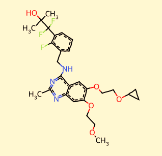 COCCOc1cc2nc(C)nc(NCc3cccc(C(F)(F)C(C)(C)O)c3F)c2cc1OCCOC1CC1